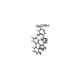 COC(=O)c1ccc(-c2noc(-c3nnn(C4C=CC=CC4F)c3-c3ccccc3)n2)c(F)c1